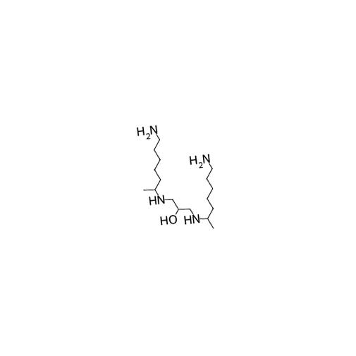 CC(CCCCCN)NCC(O)CNC(C)CCCCCN